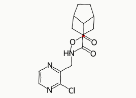 COC(=O)C1C2CCC1CC(C(=O)NCc1nccnc1Cl)C2